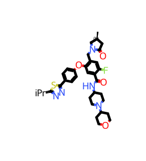 CC(C)c1nnc(-c2ccc(Oc3cc(C(=O)NC4CCN(C5CCOCC5)CC4)c(F)cc3CN3C[C@@H](C)CC3=O)cc2)s1